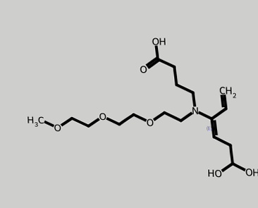 C=C/C(=C\CC(O)O)N(CCCC(=O)O)CCOCCOCCOC